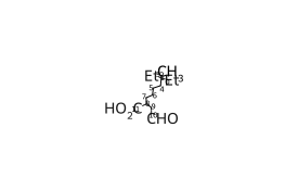 CCC(C)(CC)CCCCC(CC=O)C(=O)O